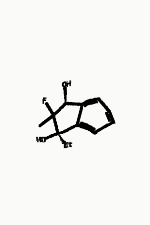 CC[C@@]1(O)c2ccccc2[C@H](O)C1(C)F